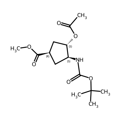 COC(=O)[C@@H]1C[C@H](NC(=O)OC(C)(C)C)[C@@H](OC(C)=O)C1